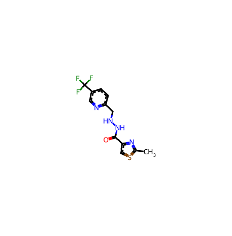 Cc1nc(C(=O)NNCc2ccc(C(F)(F)F)cn2)cs1